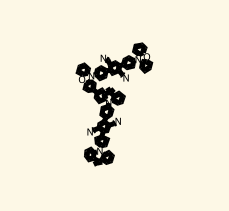 CC1(C)c2ccccc2N(c2ccc(-c3cc(C#N)c(-c4ccc(N5c6ccccc6C(C)(C)c6cc(-c7ccc8c(c7)N(c7ccc(-c9cc(C#N)c(-c%10ccc(N%11c%12ccccc%12Oc%12ccccc%12%11)cc%10)cc9C#N)cc7)c7ccccc7O8)ccc65)cc4)cc3C#N)cc2)c2ccccc21